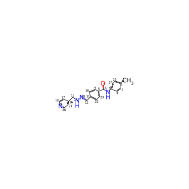 Cc1ccc(NC(=O)c2ccc(/C=N/NCc3ccncc3)cc2)cc1